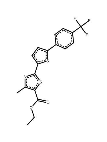 CCOC(=O)c1sc(-c2ccc(-c3ccc(C(F)(F)F)cc3)s2)nc1C